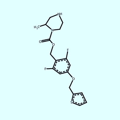 CC1CNCCN1C(=O)OCc1c(F)cc(OCc2cccs2)cc1F